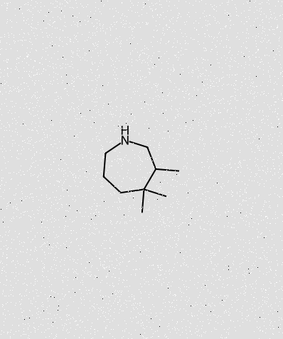 CC1CNCCCC1(C)C